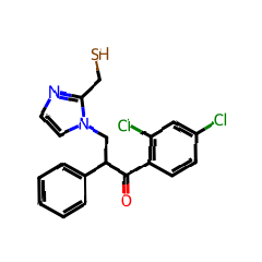 O=C(c1ccc(Cl)cc1Cl)C(Cn1ccnc1CS)c1ccccc1